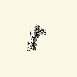 Cc1ncc(Cl)cc1N[C@@H](C)c1ccc(C(=O)N[C@@H](CC2CCCC2)C(=O)N[C@@H]2CC[C@H](F)C2)s1